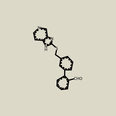 O=Cc1ccccc1-c1cccc(CSc2nc3cnccc3[nH]2)c1